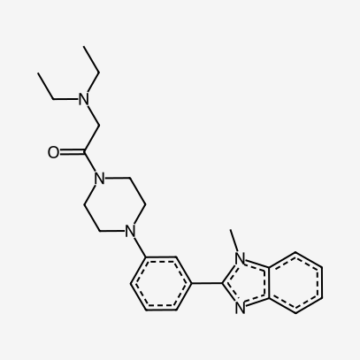 CCN(CC)CC(=O)N1CCN(c2cccc(-c3nc4ccccc4n3C)c2)CC1